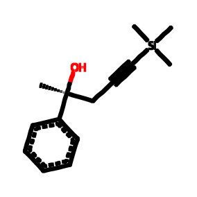 C[C@](O)(CC#C[Si](C)(C)C)c1ccccc1